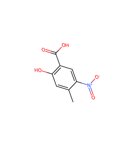 Cc1cc(O)c(C(=O)O)cc1[N+](=O)[O-]